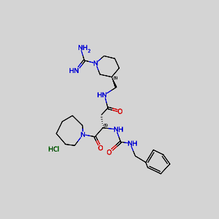 Cl.N=C(N)N1CCC[C@@H](CNC(=O)C[C@H](NC(=O)NCc2ccccc2)C(=O)N2CCCCCC2)C1